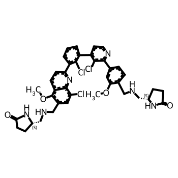 COc1cc(-c2nccc(-c3cccc(-c4ccc5c(OC)c(CNC[C@@H]6CCC(=O)N6)cc(Cl)c5n4)c3Cl)c2Cl)ccc1CNC[C@@H]1CCC(=O)N1